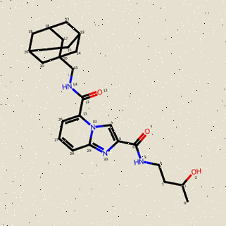 CC(O)CCNC(=O)c1cn2c(C(=O)NCC34CC5CC(CC(C5)C3)C4)cccc2n1